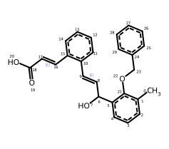 Cc1cccc(C(O)/C=C/c2ccccc2/C=C/C(=O)O)c1OCc1ccccc1